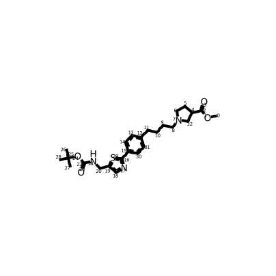 COC(=O)C1CCN(CCCCc2ccc(-c3ncc(CNC(=O)OC(C)(C)C)s3)cc2)C1